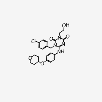 O=c1nc(Nc2ccc(OC3CCOCC3)cc2)n(Cc2ccc(Cl)cc2)c(=O)n1CCO